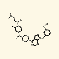 CCOc1cccc(Cn2ncc3c(N4CCN(C(=O)c5ccc(N(CCN(C)C)C(C)=O)c(C)c5)CC4)ncnc32)c1